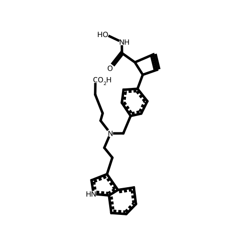 O=C(O)CCCN(CCc1c[nH]c2ccccc12)Cc1ccc(C2C#CC2C(=O)NO)cc1